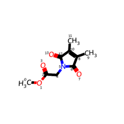 COC(=O)CN1C(=O)C(C)=C(C)C1=O